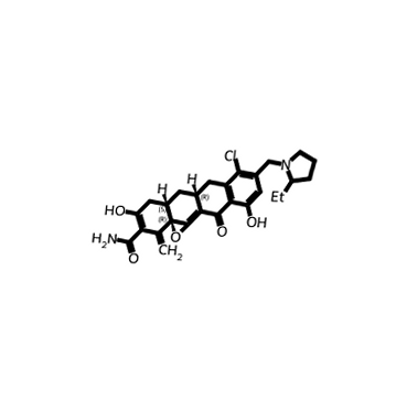 C=C1C(C(N)=O)=C(O)C[C@@H]2C[C@@H]3Cc4c(Cl)c(CN5CCCC5CC)cc(O)c4C(=O)C3=C3O[C@]132